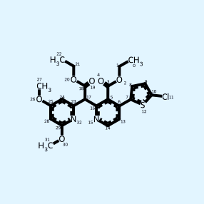 CCOC(=O)c1c(-c2ccc(Cl)s2)ccnc1C(C(=O)OCC)c1cc(OC)cc(OC)n1